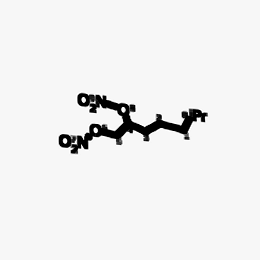 CC(C)CCCC(CO[N+](=O)[O-])O[N+](=O)[O-]